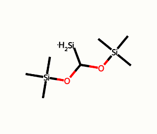 C[Si](C)(C)OC([SiH2])O[Si](C)(C)C